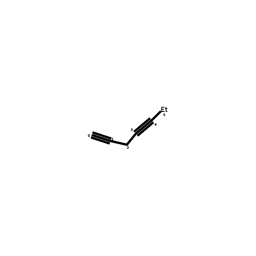 C#CCC#CCC